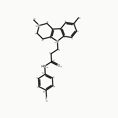 Cc1ccc2c(c1)c1c(n2CCC(=O)Nc2ccc(F)cc2)CCN(C)C1